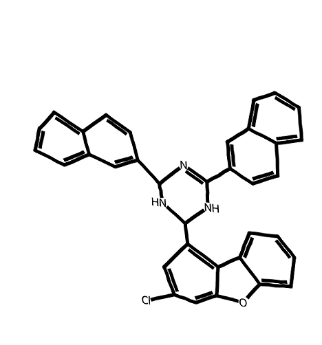 Clc1cc(C2NC(c3ccc4ccccc4c3)=NC(c3ccc4ccccc4c3)N2)c2c(c1)oc1ccccc12